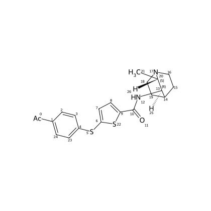 CC(=O)c1ccc(Sc2ccc(C(=O)N[C@@H]3C4CCN(CC4)[C@H]3C)s2)cc1